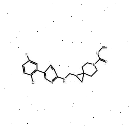 CC(C)(C)OC(=O)N1CCC2(CC1)CC2CNc1ccc(-c2cc(F)ccc2Cl)nn1